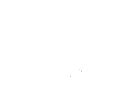 Cn1cc2cc(C3CCC(=O)CC3)ccc2n1